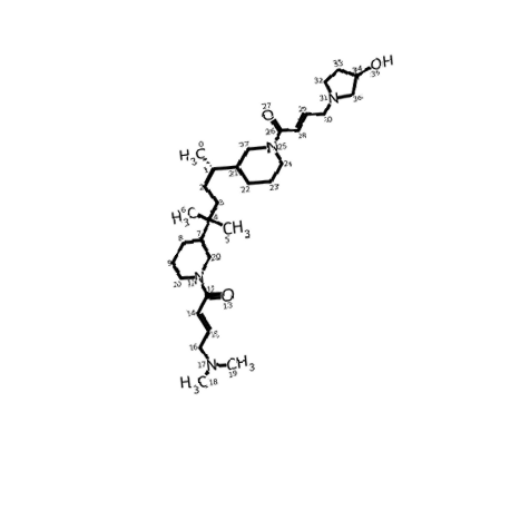 C[C@@H](CCC(C)(C)C1CCCN(C(=O)/C=C/CN(C)C)C1)C1CCCN(C(=O)/C=C/CN2CCC(O)C2)C1